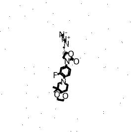 CC1(C)CN(c2ccc(N3C[C@H](CN=[N+]=[N-])OC3=O)cc2F)CCC12OCCO2